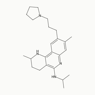 Cc1cc2nc(NC(C)C)c3c(c2cc1CCCN1CCCC1)NC(C)CC3